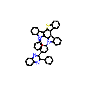 N#Cc1cc(-c2nc3ccccc3nc2-c2ccccc2)ccc1-n1c2ccccc2c2c3c4ccccc4sc3c3c4ccccc4n(-c4ccccc4)c3c21